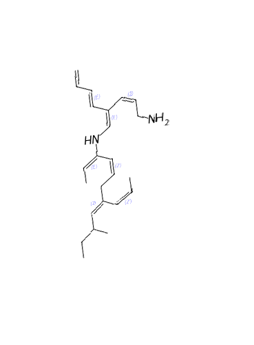 C=C/C=C/C(/C=C\CN)=C\NC(/C=C\CC(/C=C\C)=C/C(C)CC)=C/C